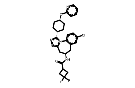 O=C(N[C@@H]1Cc2cc(Cl)ccc2-n2c(nnc2[C@H]2CC[C@H](Oc3ccccn3)CC2)C1)C1CC(F)(F)C1